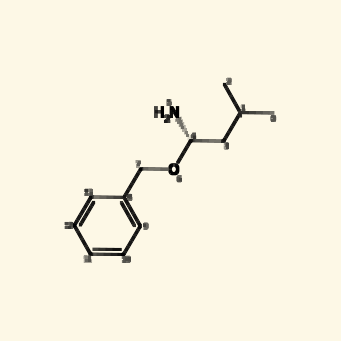 C[C](C)C[C@@H](N)OCc1ccccc1